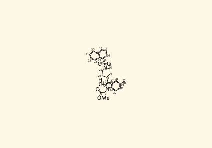 COC(=O)Cn1c(C)c(C2CCN(S(=O)(=O)c3cccc4ccccc34)CC2)c2cc(F)ccc21